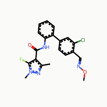 CO/N=C/c1ccc(-c2ccccc2NC(=O)c2c(C)nn(C)c2F)cc1Cl